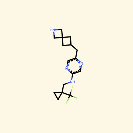 FC(F)(F)C1(CNc2cnc(CC3CC4(CNC4)C3)cn2)CC1